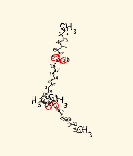 CCCCCCCCOC(=O)CCCCCCCCCC(C)(C)C(=O)OCCCCCCCC